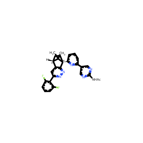 CC(=O)Nc1ncc(-c2cccc([C@]34CC[C@@H](c5cc(-c6c(F)cccc6F)nnc53)C4(C)C)n2)cn1